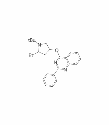 CCC1CC(Oc2nc(-c3ccccc3)nc3ccccc23)CN1C(C)(C)C